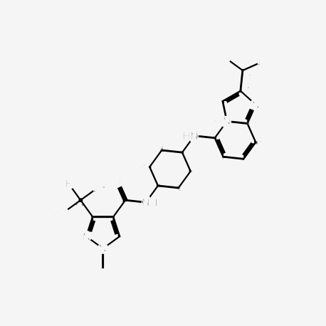 Cn1cc(C(=O)NC2CCC(Nc3cccc4nc(C(F)F)cn34)CC2)c(C(F)(F)F)n1